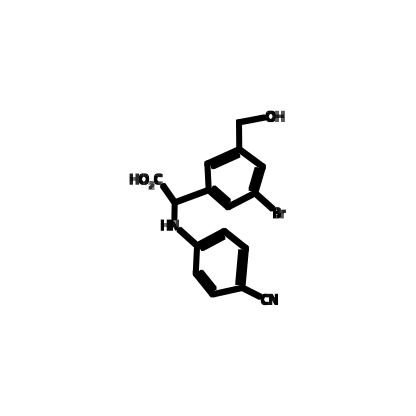 N#Cc1ccc(NC(C(=O)O)c2cc(Br)cc(CO)c2)cc1